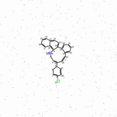 ClC1=CCC(C2=C/CNc3c(ccc4ccccc34)-c3ccccc3/C=C\2)C=C1